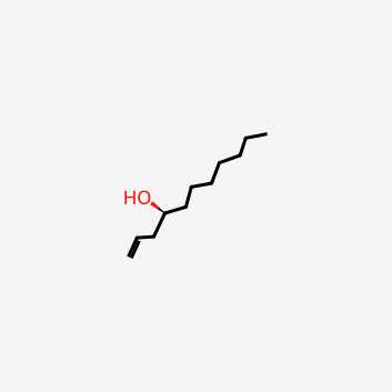 C=CC[C@@H](O)CCCCCCC